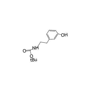 CC(C)(C)OC(=O)NCCCc1cccc(O)c1